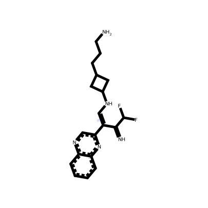 N=C(/C(=C\NC1CC(CCCN)C1)c1cnc2ccccc2n1)C(F)F